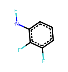 F[N]c1cccc(F)c1F